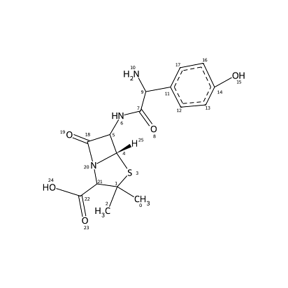 CC1(C)S[C@H]2C(NC(=O)C(N)c3ccc(O)cc3)C(=O)N2C1C(=O)O